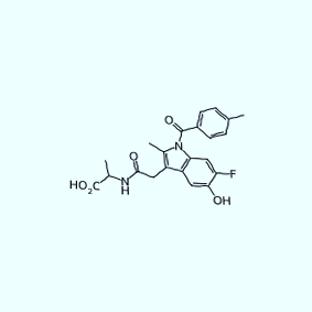 Cc1ccc(C(=O)n2c(C)c(CC(=O)NC(C)C(=O)O)c3cc(O)c(F)cc32)cc1